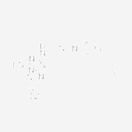 Nc1nc(NCCN2CCN(c3ccc(O[C@H]4CC[S@@+]([O-])CC4)cc3F)CC2)nc2nc(-c3ccco3)nn12